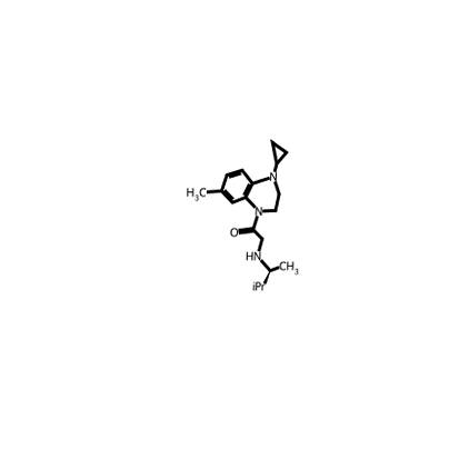 Cc1ccc2c(c1)N(C(=O)CN[C@@H](C)C(C)C)CCN2C1CC1